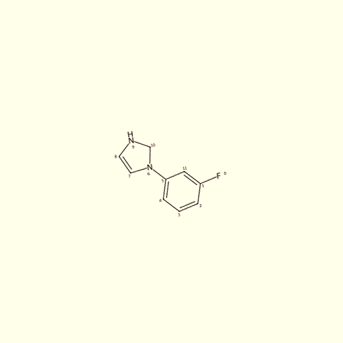 Fc1cccc(N2C=CNC2)c1